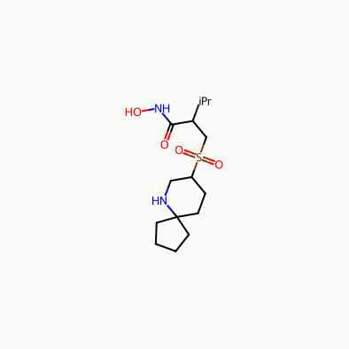 CC(C)C(CS(=O)(=O)C1CCC2(CCCC2)NC1)C(=O)NO